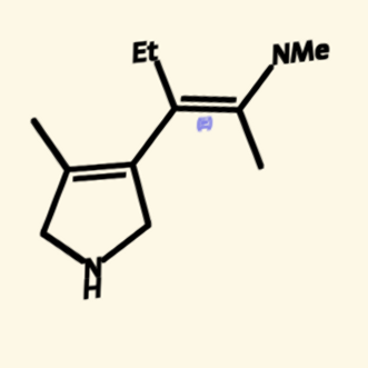 CC/C(C1=C(C)CNC1)=C(/C)NC